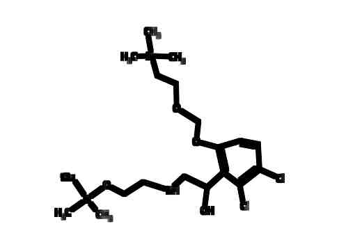 CC(C)(C)[Si](C)(C)OCCNCC(O)c1c(OCOCC[Si](C)(C)C)ccc(Cl)c1Cl